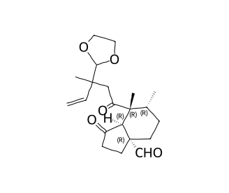 C=CC(C)(CC(=O)[C@]1(C)[C@H](C)CC[C@@]2(C=O)CCC(=O)[C@H]21)C1OCCO1